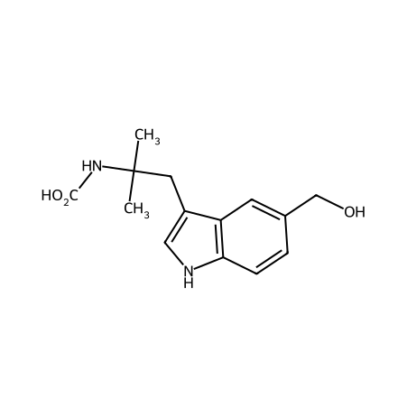 CC(C)(Cc1c[nH]c2ccc(CO)cc12)NC(=O)O